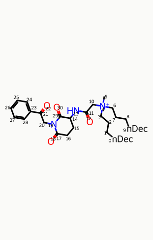 CCCCCCCCCCCCC[N+](C)(CCCCCCCCCCCCC)CC(=O)NC1CCC(=O)N(CC(=O)c2ccccc2)C1=O